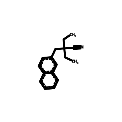 CCC(C#N)(CC)Cc1ccc2ccccc2c1